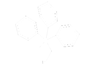 CP(CBr)(c1ccccc1)(c1ccccc1)c1ccccc1